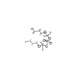 CCCCOC(C)(C)OP([O])(=O)OC(C)(C)OCCCC